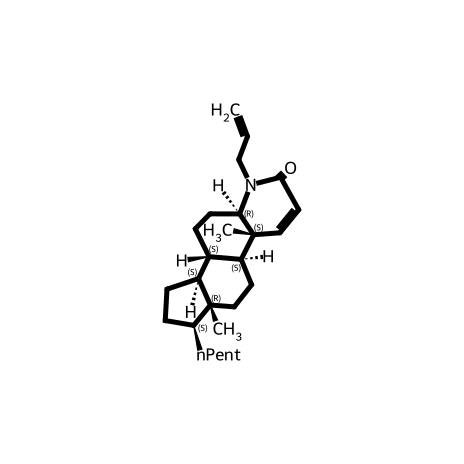 C=CCN1C(=O)C=C[C@]2(C)[C@H]3CC[C@]4(C)[C@@H](CCCCC)CC[C@H]4[C@@H]3CC[C@@H]12